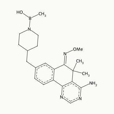 CON=C1c2cc(CC3CCN(B(C)O)CC3)ccc2-c2ncnc(N)c2C1(C)C